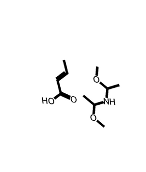 C/C=C/C(=O)O.COC(C)NC(C)OC